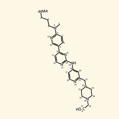 CNCCCN(C)c1ccc(-c2ccnc(Nc3ccnc(CN4CCN(CC(=O)O)CC4)c3)n2)cn1